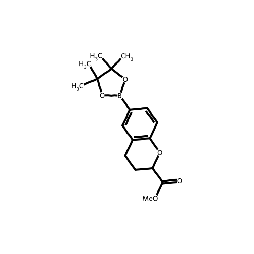 COC(=O)C1CCc2cc(B3OC(C)(C)C(C)(C)O3)ccc2O1